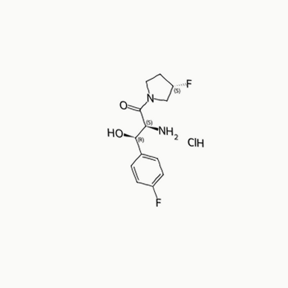 Cl.N[C@H](C(=O)N1CC[C@H](F)C1)[C@H](O)c1ccc(F)cc1